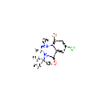 CNc1c(Br)cc(Cl)cc1C(=O)N(C)C(C)(C)C